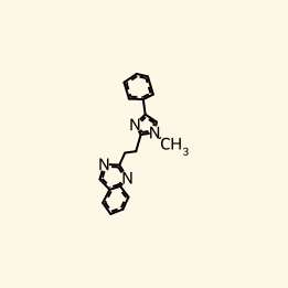 Cn1cc(-c2ccccc2)nc1CCc1ncc2ccccc2n1